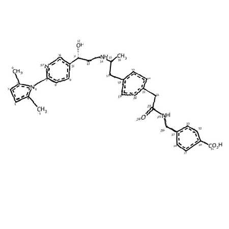 Cc1ccc(C)n1-c1ccc([C@H](O)CNC(C)Cc2ccc(CC(=O)NCc3ccc(C(=O)O)cc3)cc2)cn1